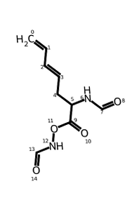 C=CC=CCC(NC=O)C(=O)ONC=O